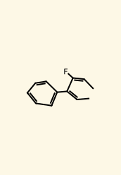 C/C=C(\C(F)=C/C)c1ccccc1